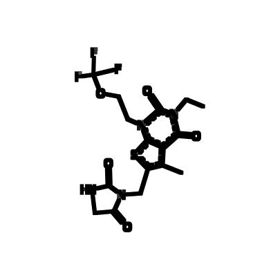 CCn1c(=O)c2c(C)c(CN3C(=O)CNC3=O)sc2n(CCOC(F)(F)F)c1=O